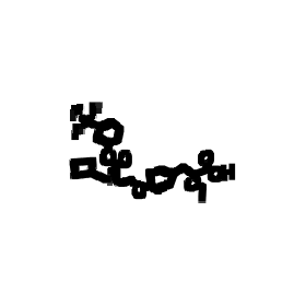 CCOC(Cc1ccc(OCCN(CC2CCC2)C(=O)Oc2cccc(C(F)(F)F)c2)cc1)C(=O)O